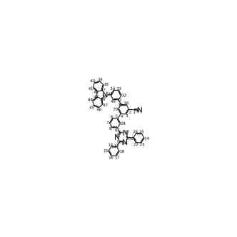 N#Cc1cc(-c2cccc(-c3nc(-c4ccccc4)nc(-c4ccccc4)n3)c2)cc(-c2cccc(-n3c4ccccc4c4ccccc43)c2)c1